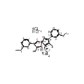 CCc1cccc(C2=CC(C)[C]([Hf]([CH3])([CH3])(=[SiH2])[C]3=C(C)C(c4cccc(CC)c4)=CC3C)=C2C)c1.Cl.Cl